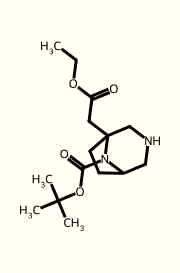 CCOC(=O)CC12CCC(CNC1)N2C(=O)OC(C)(C)C